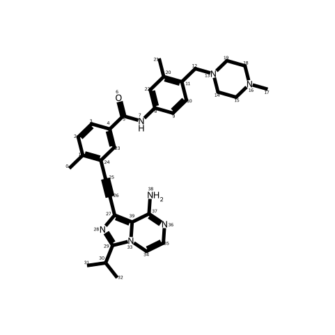 Cc1ccc(C(=O)Nc2ccc(CN3CCN(C)CC3)c(C)c2)cc1C#Cc1nc(C(C)C)n2ccnc(N)c12